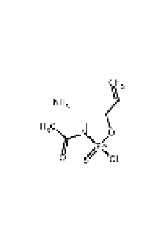 C=CCO[P@](O)(=S)NC(C)=O.N